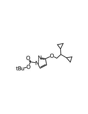 CC(C)(C)OC(=O)n1ccc(OCC(C2CC2)C2CC2)n1